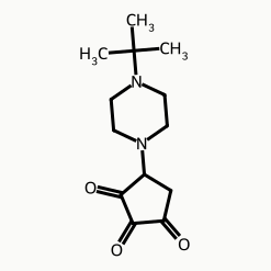 CC(C)(C)N1CCN(C2CC(=O)C(=O)C2=O)CC1